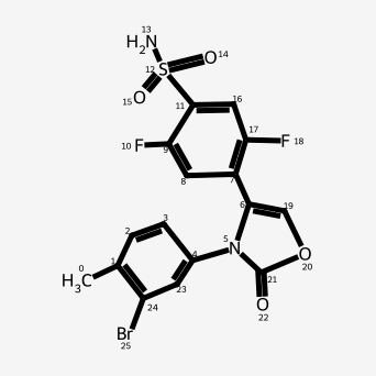 Cc1ccc(-n2c(-c3cc(F)c(S(N)(=O)=O)cc3F)coc2=O)cc1Br